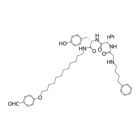 CCC[C@H](NC(=O)CNCCCCc1ccccc1)C(=O)N[C@@H](Cc1ccc(O)cc1)C(=O)NCCCCCCCCCCCCOc1ccc(C=O)cc1